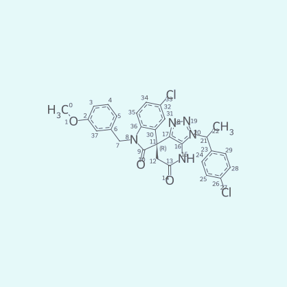 COc1cccc(CN2C(=O)[C@]3(CC(=O)Nc4c3nnn4C(C)c3ccc(Cl)cc3)c3cc(Cl)ccc32)c1